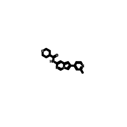 Cc1cc(-c2cc3cc(NC(=O)C4CCOCC4)ncn3c2)ccn1